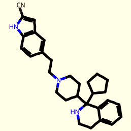 N#Cc1cc2cc(CCN3CCC(C4(C5CCCC5)NCCc5ccccc54)CC3)ccc2[nH]1